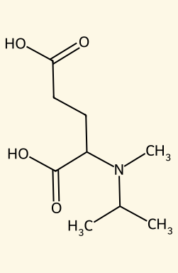 CC(C)N(C)C(CCC(=O)O)C(=O)O